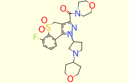 O=C(c1nn([C@H]2CCN(C3CCOCC3)C2)c2c1CS(=O)(=O)c1c(F)cccc1-2)N1CCOCC1